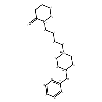 O=C1CCCCN1CCCCN1CCN(Cc2ccccc2)CC1